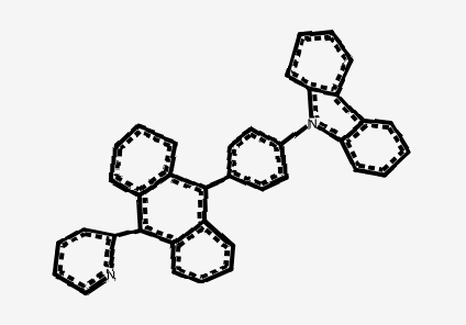 c1ccc(-c2c3ccccc3c(-c3ccc(-n4c5ccccc5c5ccccc54)cc3)c3ccccc23)nc1